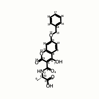 C[C@H](NC(=O)c1c(O)c2ccc(OCc3ccccc3)cc2oc1=O)C(=O)O